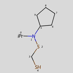 CC(C)N(SCS)C1CCCC1